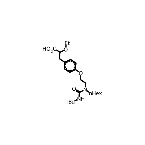 CCCCCCN(CCOc1ccc(CC(OCC)C(=O)O)cc1)C(=O)NC(C)CC